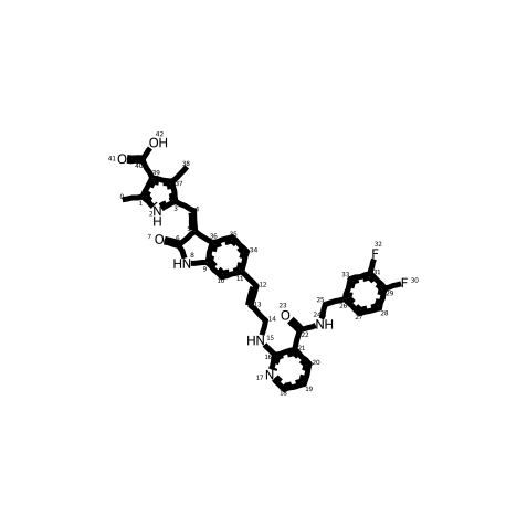 Cc1[nH]c(C=C2C(=O)Nc3cc(C=CCNc4ncccc4C(=O)NCc4ccc(F)c(F)c4)ccc32)c(C)c1C(=O)O